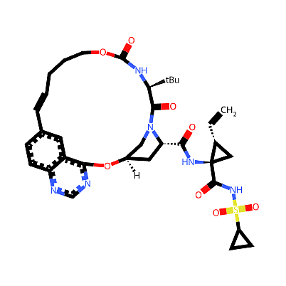 C=C[C@@H]1C[C@]1(NC(=O)[C@@H]1C[C@@H]2CN1C(=O)[C@H](C(C)(C)C)NC(=O)OCCC/C=C/c1ccc3ncnc(c3c1)O2)C(=O)NS(=O)(=O)C1CC1